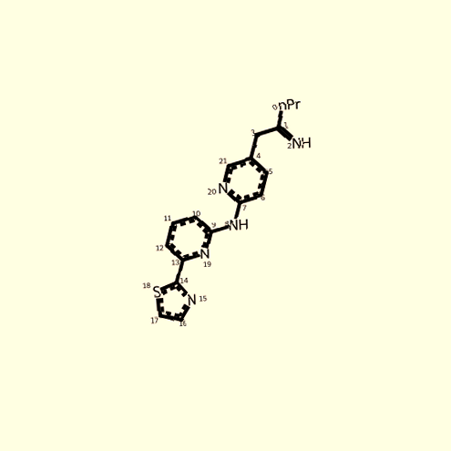 CCCC(=N)Cc1ccc(Nc2cccc(-c3nccs3)n2)nc1